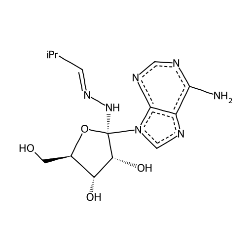 CC(C)C=NN[C@@]1(n2cnc3c(N)ncnc32)O[C@H](CO)[C@@H](O)[C@H]1O